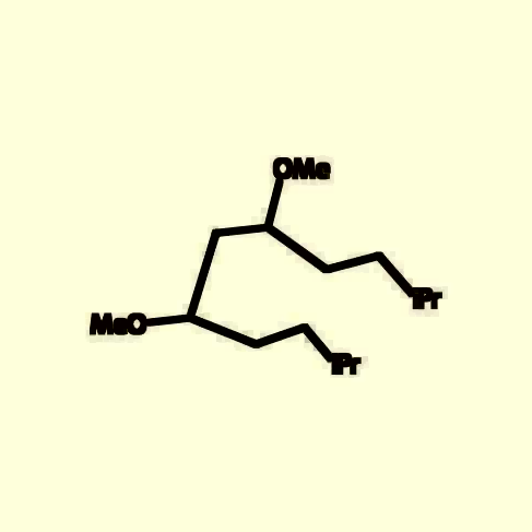 COC(CCC(C)C)CC(CCC(C)C)OC